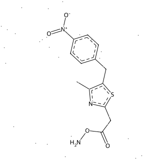 Cc1nc(CC(=O)ON)sc1Cc1ccc([N+](=O)[O-])cc1